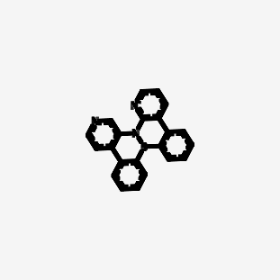 c1ccc2c(c1)B1c3ccccc3-c3cccnc3N1c1cnccc1-2